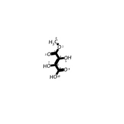 COC(=O)C(O)=C(O)C(=O)O